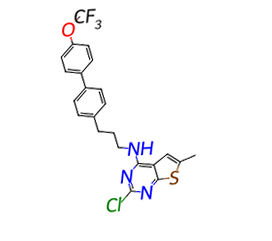 Cc1cc2c(NCCCc3ccc(-c4ccc(OC(F)(F)F)cc4)cc3)nc(Cl)nc2s1